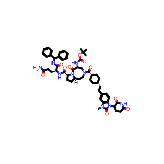 Cn1c(=O)n(C2CCC(=O)NC2=O)c2ccc(CC[C@H]3CC[C@@H](C(=O)N4CC[C@H]5CC[C@@H](C(=O)N[C@@H](CCC(N)=O)C(=O)NC(c6ccccc6)c6ccccc6)N5C(=O)[C@@H](NC(=O)OC(C)(C)C)C4)CC3)cc21